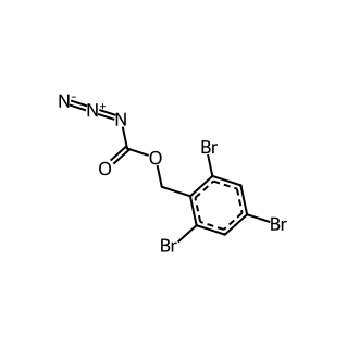 [N-]=[N+]=NC(=O)OCc1c(Br)cc(Br)cc1Br